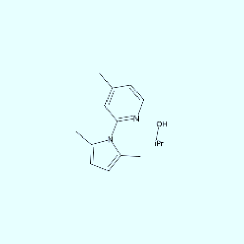 CC(C)O.Cc1ccnc(-n2c(C)ccc2C)c1